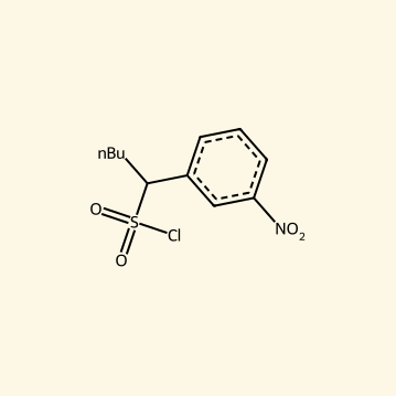 CCCCC(c1cccc([N+](=O)[O-])c1)S(=O)(=O)Cl